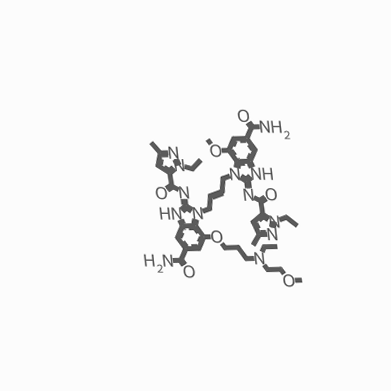 CCN(CCCOc1cc(C(N)=O)cc2[nH]/c(=N\C(=O)c3cc(C)nn3CC)n(C/C=C/Cn3/c(=N/C(=O)c4cc(C)nn4CC)[nH]c4cc(C(N)=O)cc(OC)c43)c12)CCOC